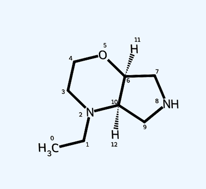 CCN1CCO[C@H]2CNC[C@H]21